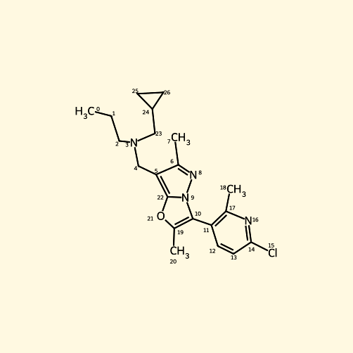 CCCN(Cc1c(C)nn2c(-c3ccc(Cl)nc3C)c(C)oc12)CC1CC1